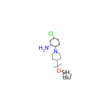 CC(C)(C)[SiH2]OC(C)(C)C1CCN(c2ccc(Cl)cc2N)CC1